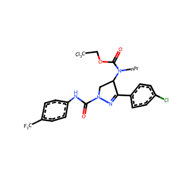 CCCN(C(=O)OCC(Cl)(Cl)Cl)C1CN(C(=O)Nc2ccc(C(F)(F)F)cc2)N=C1c1ccc(Cl)cc1